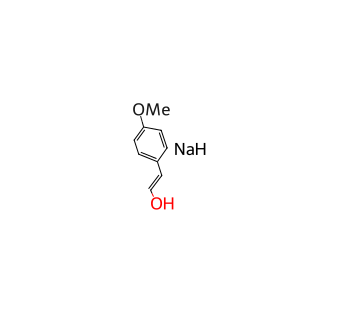 COc1ccc(C=CO)cc1.[NaH]